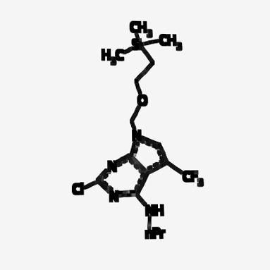 CCCNc1nc(Cl)nc2c1c(C(F)(F)F)cn2COCC[Si](C)(C)C